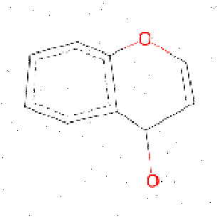 [O]C1C=COc2ccccc21